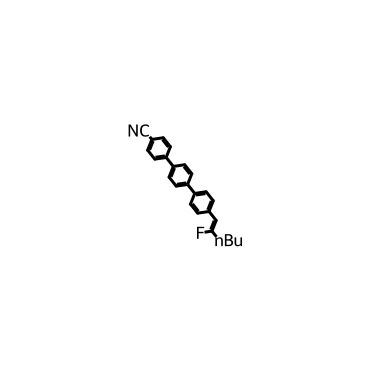 CCCCC(F)=Cc1ccc(-c2ccc(-c3ccc(C#N)cc3)cc2)cc1